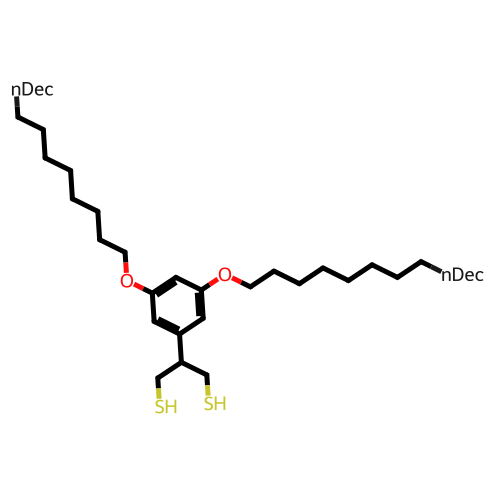 CCCCCCCCCCCCCCCCCCOc1cc(OCCCCCCCCCCCCCCCCCC)cc(C(CS)CS)c1